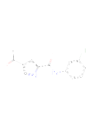 CC(=O)c1c[nH]c(C(=O)Nc2cccc(Cl)c2)c1